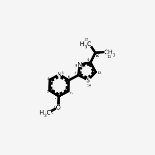 COc1ccnc(-c2nc(C(C)C)cs2)c1